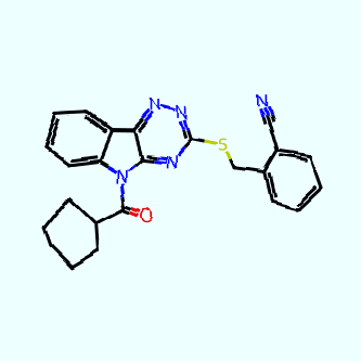 N#Cc1ccccc1CSc1nnc2c3ccccc3n(C(=O)C3CCCCC3)c2n1